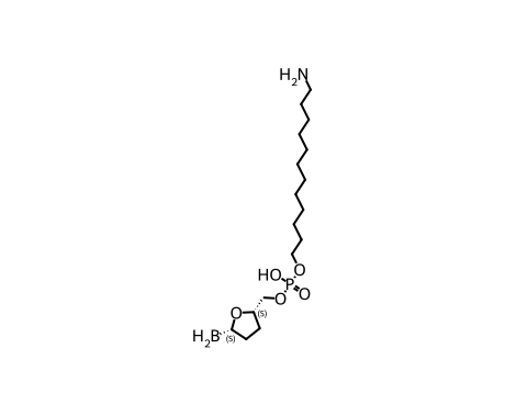 B[C@H]1CC[C@@H](COP(=O)(O)OCCCCCCCCCCCCN)O1